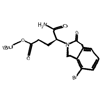 CC(C)(C)OC(=O)CC[C@@H](C(N)=O)N1Cc2c(Br)cccc2C1=O